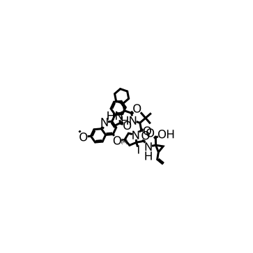 C=CC1CC1(NC(=O)C1(I)C[C@@H](Oc2cc(-c3ccccc3)nc3cc(OC)ccc23)CN1C(=O)C(NC(=O)C(NC(C)=O)C1CCCCC1)C(C)(C)C)C(=O)O